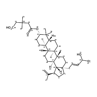 C=C(C)[C@@H]1CC[C@]2(C/C=C/C(O)CC)CC[C@]3(C)[C@H](CC[C@@H]4[C@@]5(C)CC[C@H](OC(=O)CC(C)(C)CC(=O)O)C(C)(C)[C@@H]5CC[C@]43C)[C@@H]12